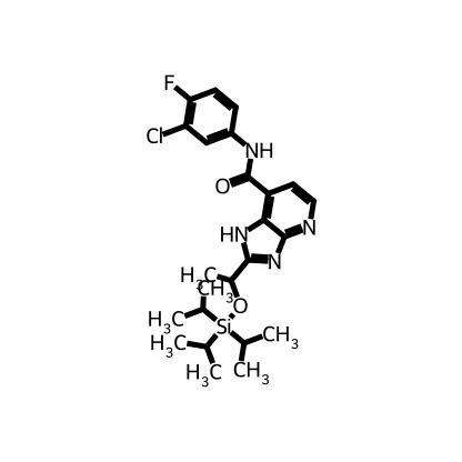 CC(O[Si](C(C)C)(C(C)C)C(C)C)c1nc2nccc(C(=O)Nc3ccc(F)c(Cl)c3)c2[nH]1